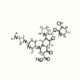 Cc1nc(N2CC(N(C)C)C2)ccc1-n1cc(C(=O)O)c(=O)c2cc(Cl)c(N3CCC[C@@H]3COc3ncccc3Cl)cc21